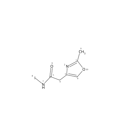 Cc1nc(CC(=O)NI)co1